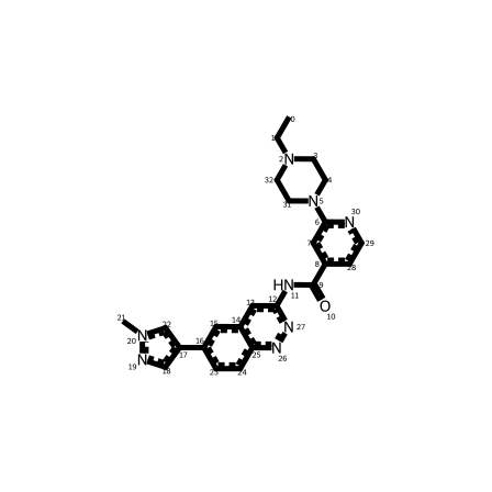 CCN1CCN(c2cc(C(=O)Nc3cc4cc(-c5cnn(C)c5)ccc4nn3)ccn2)CC1